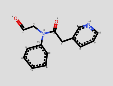 O=CCN(C(=O)Cc1cccnc1)c1ccccc1